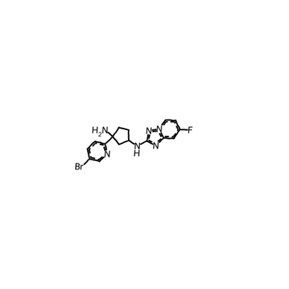 NC1(c2ccc(Br)cn2)CCC(Nc2nc3cc(F)ccn3n2)C1